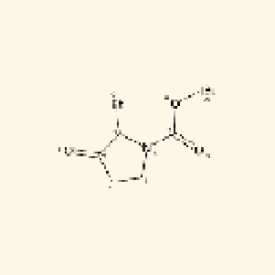 CCC1C(=O)CCN1C(=O)OC(C)(C)C